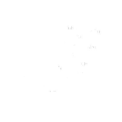 CCC[CH2][Sn]([CH2]CCC)([CH2]CCC)[c]1ccc(N(c2ccccc2C)c2ccccc2C)s1